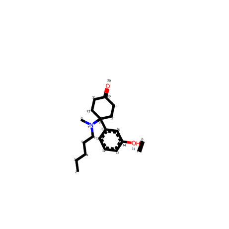 C=C.CCCCCN(C)C1(c2cccc(O)c2)CCC(=O)CC1